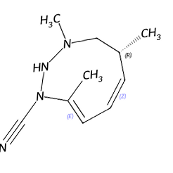 C/C1=C\C=C/[C@@H](C)CN(C)NN1C#N